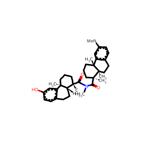 CNc1ccc2c(c1)[C@@]1(C)CCC[C@](C)(C(=O)N(C)C(=O)[C@@]3(C)CCC[C@]4(C)c5cc(O)ccc5CC[C@@H]34)[C@]1(C)CC2